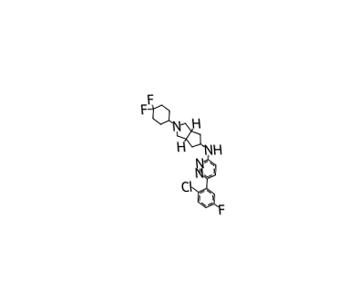 Fc1ccc(Cl)c(-c2ccc(N[C@H]3C[C@@H]4CN(C5CCC(F)(F)CC5)C[C@@H]4C3)nn2)c1